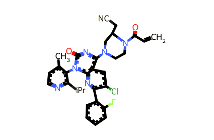 C=CC(=O)N1CCN(c2nc(=O)n(-c3c(C)ccnc3C(C)C)c3nc(-c4ccccc4F)c(Cl)cc23)CC1CC#N